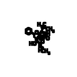 CCNC(=O)C(O)[C@H](CCc1ccccc1)NC(=O)[C@H](CC(C)C)NC(=O)O